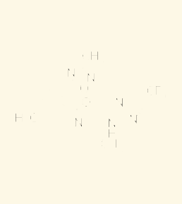 Cc1ccc(-c2nc(C)no2)c(C(=O)N2CCC[C@@H](C)[C@H]2CNc2ncc(C(F)(F)F)cn2)c1